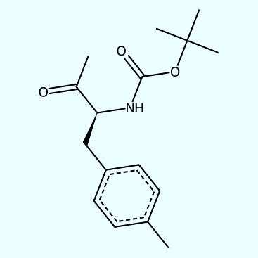 CC(=O)[C@H](Cc1ccc(C)cc1)NC(=O)OC(C)(C)C